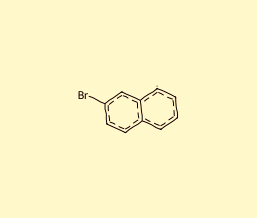 Brc1ccc2ccc[c]c2c1